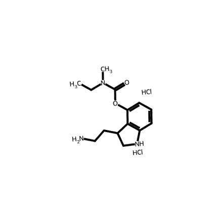 CCN(C)C(=O)Oc1cccc2c1C(CCN)CN2.Cl.Cl